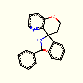 O=C(NC1(c2ccccc2)CCOc2cccnc21)c1ccccc1